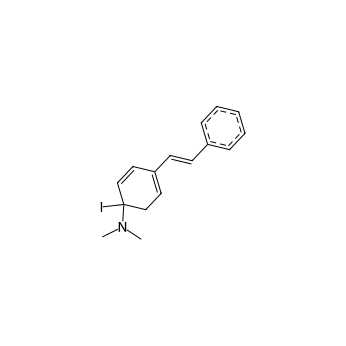 CN(C)C1(I)C=CC(C=Cc2ccccc2)=CC1